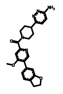 COc1cc(C(=O)N2CCC(c3ccc(N)nn3)CC2)ncc1-c1ccc2c(c1)OCC2